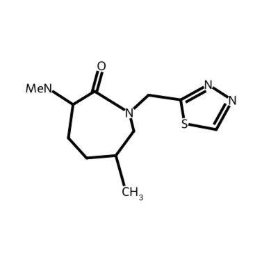 CNC1CCC(C)CN(Cc2nncs2)C1=O